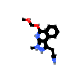 COCOc1nc2c(c(CC#N)nn2C)c2ccccc12